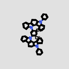 N#Cc1cc(C#N)c(-n2c3ccccc3c3ccc4c(c5ccccc5n4-c4ccccc4)c32)cc1-n1c2ccccc2c2ccc3c(c4ccccc4n3-c3ccccc3)c21